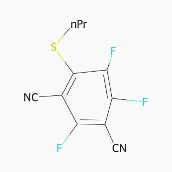 CCCSc1c(F)c(F)c(C#N)c(F)c1C#N